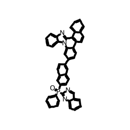 O=P(c1ccccc1)(c1ccc2cc(-c3ccc4c5ccc6ccccc6c5c5nc6ccccc6n5c4c3)ccc2c1)c1ncc2ccccc2n1